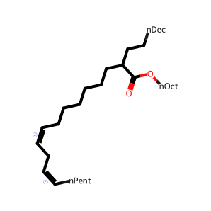 CCCCC/C=C\C/C=C\CCCCCCC(CCCCCCCCCCCC)C(=O)OCCCCCCCC